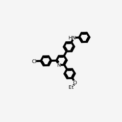 CCOc1ccc(-c2cc(-c3ccc(Nc4ccccc4)cc3)cc(-c3ccc(Cl)cc3)n2)cc1